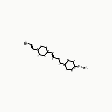 CCC=CC1CCC(C=CCCC2CCC(CCCCC)CC2)CC1